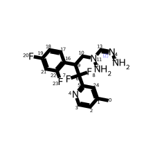 Cc1ccnc(C(F)(F)C(CN(N)/C=N\N)c2ccc(F)cc2F)c1